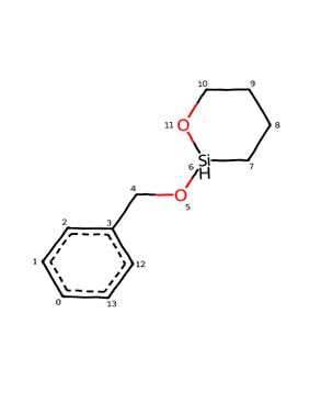 c1ccc(CO[SiH]2CCCCO2)cc1